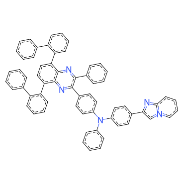 c1ccc(-c2ccccc2-c2ccc(-c3ccccc3-c3ccccc3)c3nc(-c4ccc(N(c5ccccc5)c5ccc(-c6cn7ccccc7n6)cc5)cc4)c(-c4ccccc4)nc23)cc1